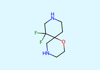 FC1(F)CNCCC12CNCCO2